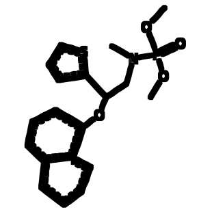 COP(=O)(OC)N(C)CC(Oc1cccc2ccccc12)c1cccs1